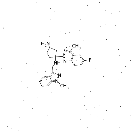 Cc1cc(C2(NCc3nn(C)c4ccccc34)CCC(N)C2)nc2ccc(F)cc12